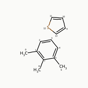 Cc1cccc(C)c1C.c1ccsc1